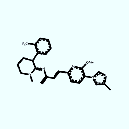 C=C(/C=C/c1ccc(-n2cnc(C)c2)c(OC)n1)/N=C1/C(c2ccccc2C(F)(F)F)CCCN1C